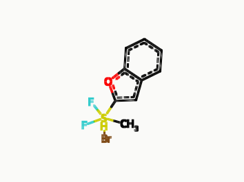 C[SH](F)(F)(Br)c1cc2ccccc2o1